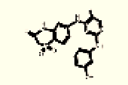 O=C1CS(=O)(=O)c2ccc(Nc3nc(Nc4cccc(O)c4)ncc3F)cc2N1